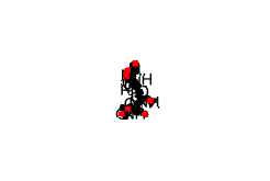 CC(=O)N[C@H](C(=O)N1CC2C([C@H]1C(=O)NC(CC1CC1)C(=O)C(=O)NCC(=O)N[C@H](C(=O)N(C)C)c1ccccc1)C2(C)C)C(C)(C)C